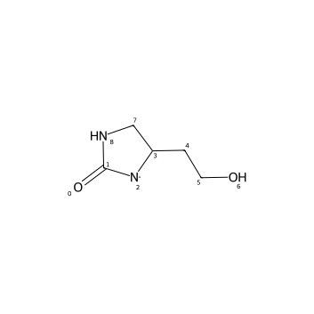 O=C1[N]C(CCO)CN1